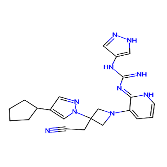 N#CCC1(n2cc(C3CCCC3)cn2)CN(c2ccc[nH]/c2=N\C(=N)Nc2cn[nH]c2)C1